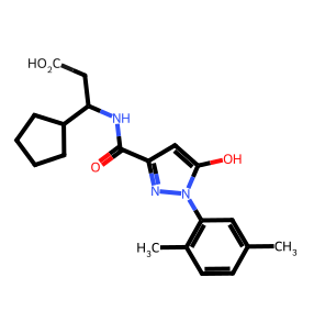 Cc1ccc(C)c(-n2nc(C(=O)NC(CC(=O)O)C3CCCC3)cc2O)c1